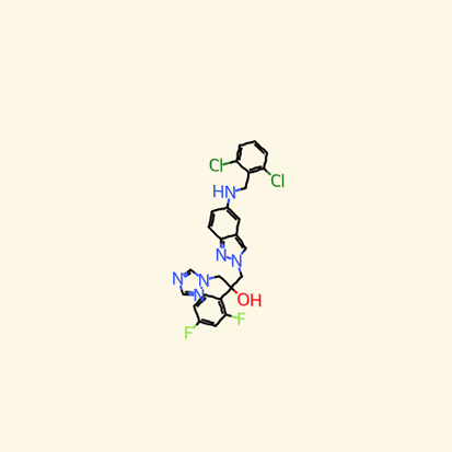 OC(Cn1cncn1)(Cn1cc2cc(NCc3c(Cl)cccc3Cl)ccc2n1)c1ccc(F)cc1F